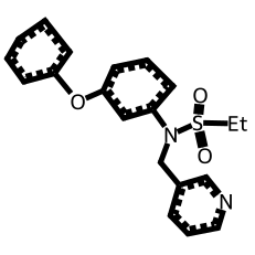 CCS(=O)(=O)N(Cc1cccnc1)c1cccc(Oc2ccccc2)c1